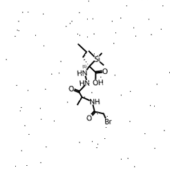 CCC[C@@](NNC(=O)C(C)NC(=O)CBr)(C(=O)O)[Si](C)(C)C